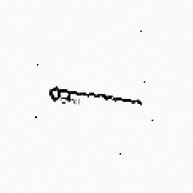 CCCCCC=CCC=CCCCCCCC(Cc1ccccc1)C(=O)O